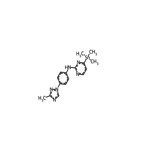 Cc1ncn(-c2ccc(Nc3ncc[c]([Sn]([CH3])([CH3])[CH3])n3)cc2)n1